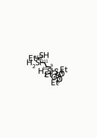 CCO[Si](OCC)(OCC)S[SiH2]CCC[SiH2]C(S)CC